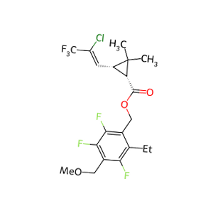 CCc1c(F)c(COC)c(F)c(F)c1COC(=O)[C@@H]1[C@H](/C=C(\Cl)C(F)(F)F)C1(C)C